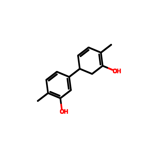 CC1=C(O)CC(c2ccc(C)c(O)c2)C=C1